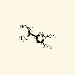 C/C(=N\O)c1cc(C)n(C)n1